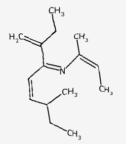 C=C(CC)C(/C=C\C(C)CC)=N\C(C)=C/C